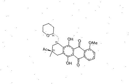 COc1cccc2c1C(=O)c1c(O)c3c(c(O)c1C2=O)C[C@@](C)(C(C)=O)C[C@@H]3C[C@H]1CCCCO1